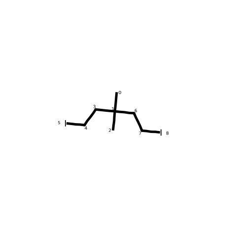 CC(C)(CCI)CCI